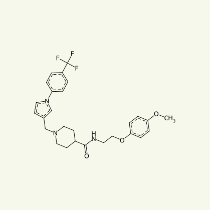 COc1ccc(OCCNC(=O)C2CCN(Cc3ccn(-c4ccc(C(F)(F)F)cc4)c3)CC2)cc1